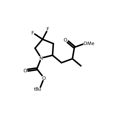 COC(=O)C(C)CC1CC(F)(F)CN1C(=O)OC(C)(C)C